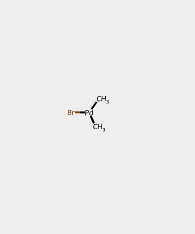 [CH3][Pd]([CH3])[Br]